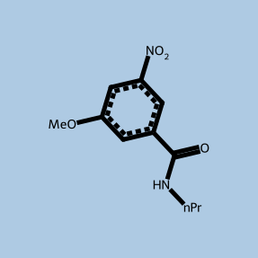 CCCNC(=O)c1cc(OC)cc([N+](=O)[O-])c1